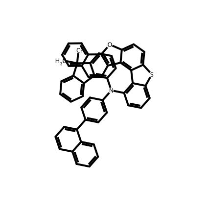 CC1(C)c2ccccc2-c2c(N(c3ccc(-c4cccc5ccccc45)cc3)c3cccc4sc5ccc6oc7c8ccccc8ccc7c6c5c34)cccc21